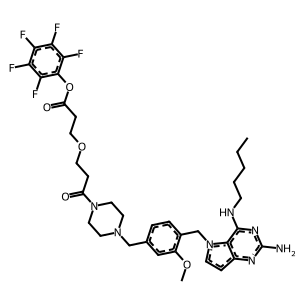 CCCCCNc1nc(N)nc2ccn(Cc3ccc(CN4CCN(C(=O)CCOCCC(=O)Oc5c(F)c(F)c(F)c(F)c5F)CC4)cc3OC)c12